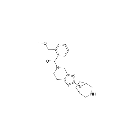 COCc1ccccc1C(=O)N1CCc2nc(N3C4CCC3CNC4)sc2C1